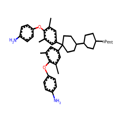 CCCCCC1CCC(C2CCC(c3cc(C)c(Oc4ccc(N)cc4)c(C)c3)(c3cc(C)c(Oc4ccc(N)cc4)c(C)c3)CC2)CC1